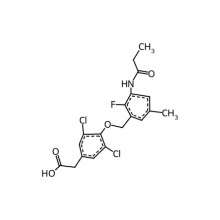 CCC(=O)Nc1cc(C)cc(COc2c(Cl)cc(CC(=O)O)cc2Cl)c1F